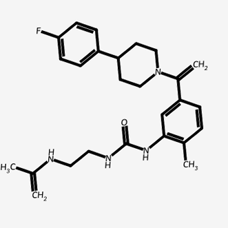 C=C(C)NCCNC(=O)Nc1cc(C(=C)N2CCC(c3ccc(F)cc3)CC2)ccc1C